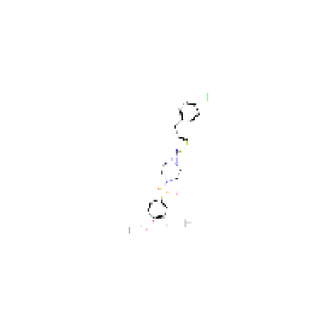 COc1ccc(S(=O)(=O)N2CCN(c3nc(Cc4ccc(Cl)cc4)cs3)CC2)cc1OC